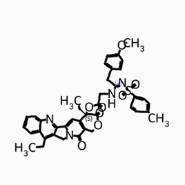 CCc1c2c(nc3ccccc13)-c1cc3c(c(=O)n1C2)COC(=O)[C@@]3(CC)OC(=O)CN/C(Cc1ccc(OC)cc1)=N\S(=O)(=O)c1ccc(C)cc1